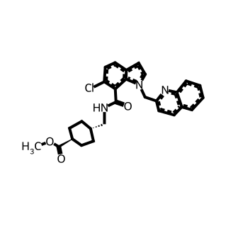 COC(=O)[C@H]1CC[C@H](CNC(=O)c2c(Cl)ccc3ccn(Cc4ccc5ccccc5n4)c23)CC1